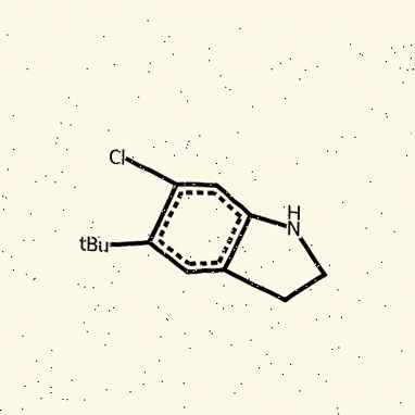 CC(C)(C)c1cc2c(cc1Cl)NCC2